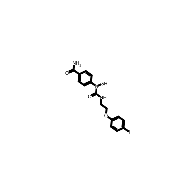 NC(=O)c1ccc(N(S)C(=O)NCCOc2ccc(I)cc2)cc1